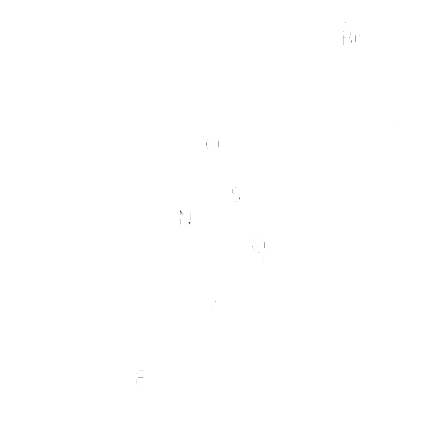 [CH2]c1cc(-c2ccccc2F)n(S(=O)(=O)c2cccc(Br)c2)c1